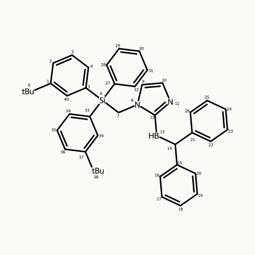 CC(C)(C)c1cccc([Si](Cn2ccnc2BC(c2ccccc2)c2ccccc2)(c2ccccc2)c2cccc(C(C)(C)C)c2)c1